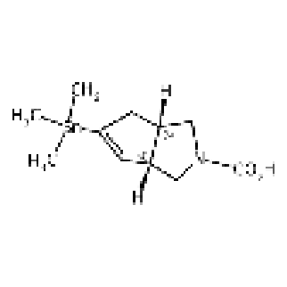 [CH3][Sn]([CH3])([CH3])[C]1=C[C@H]2CN(C(=O)O)C[C@H]2C1